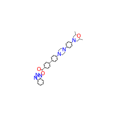 CC1CN(c2ccc(N3CCN(c4ccc(-c5ccc(C(=O)On6nnc7ccccc76)cc5)cc4)CC3)cc2)CC(C)O1